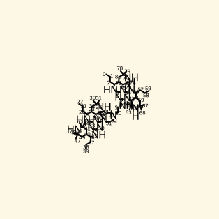 CCCC(Nc1nc(NCCN2CCN(c3nc(NC(CCC)C4CC(C)(C)NC(C)(C)C4)nc(NC(CCC)C4CC(C)(C)NC(C)(C)C4)n3)CC2)nc(NC(CCC)C2CC(C)(C)NC(C)(C)C2)n1)C1CC(C)(C)NC(C)(C)C1